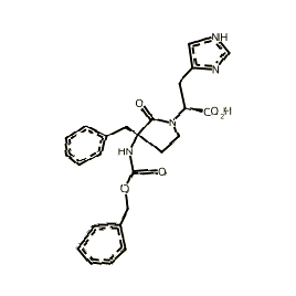 O=C(N[C@@]1(Cc2ccccc2)CCN([C@@H](Cc2c[nH]cn2)C(=O)O)C1=O)OCc1ccccc1